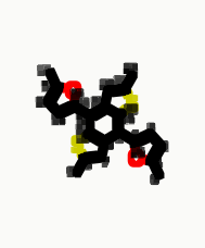 Cc1ccc(-c2c3cc(C)sc3c(-c3ccc(C)o3)c3cc(C)sc23)o1